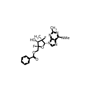 CNc1nc(C)nc2c1ncn2[C@@H]1O[C@](F)(COC(=O)c2ccccc2)[C@@H](O)[C@@]1(C)F